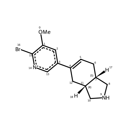 COc1cc(C2=CC[C@@H]3CNC[C@@H]3C2)cnc1Br